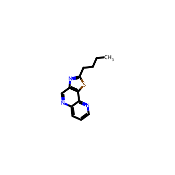 CCCCc1nc2cnc3cccnc3c2s1